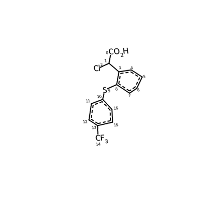 O=C(O)C(Cl)c1ccccc1Sc1ccc(C(F)(F)F)cc1